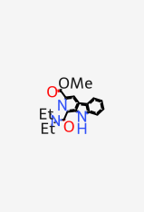 CCN(CC)C(=O)c1nc(C(=O)OC)cc2c1[nH]c1ccccc12